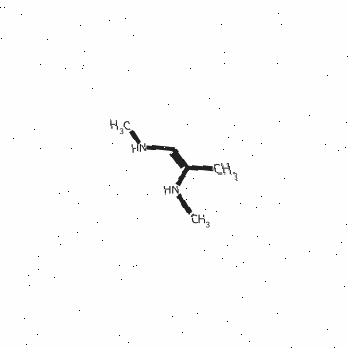 CN/C=C(/C)NC